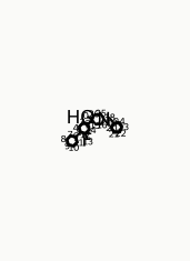 OC1(c2ccc(-c3ccccc3)c(F)c2)CCN(Cc2ccccc2)CC1